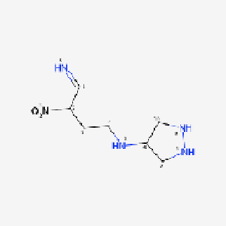 N=CC(CCNC1CNNC1)[N+](=O)[O-]